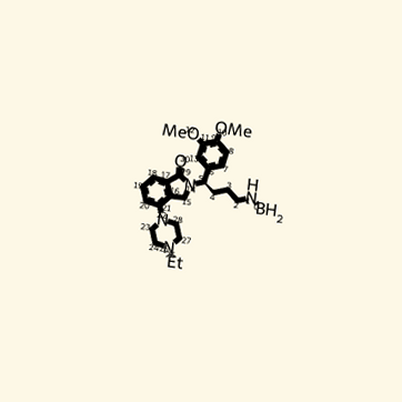 BNCCC[C@H](c1ccc(OC)c(OC)c1)N1Cc2c(cccc2N2CCN(CC)CC2)C1=O